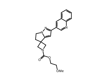 COCCOC(=O)N1CC2(CCn3nc(-c4cnc5ccccc5c4)cc32)C1